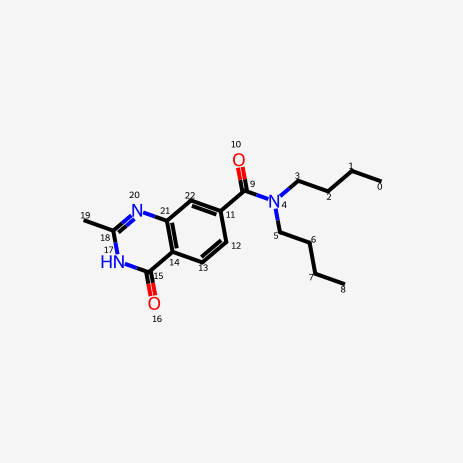 CCCCN(CCCC)C(=O)c1ccc2c(=O)[nH]c(C)nc2c1